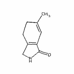 CC1=CC2=C(CC1)CNC2=O